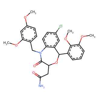 COc1ccc(CN2C(=O)C(CC(N)=O)OC(c3cccc(OC)c3OC)c3cc(Cl)ccc32)c(OC)c1